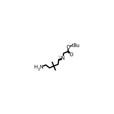 CC(C)(C/C=N/CC(=O)OC(C)(C)C)CCN